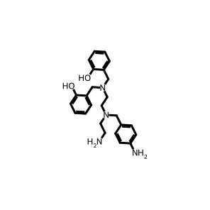 NCCN(CCN(Cc1ccccc1O)Cc1ccccc1O)Cc1ccc(N)cc1